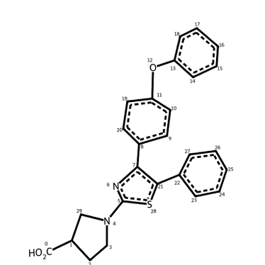 O=C(O)C1CCN(c2nc(-c3ccc(Oc4ccccc4)cc3)c(-c3ccccc3)s2)C1